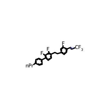 CCCc1ccc(-c2ccc(CCc3ccc(/C=C/C(F)(F)F)c(F)c3)c(F)c2F)cc1